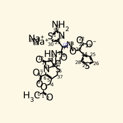 CC(=O)OCC1=C(C(=O)[O-])N2C(=O)[C@H](NC(=O)/C(=N\OC(C(=O)[O-])c3ccsc3)c3csc(N)n3)[C@H]2SC1.[Na+].[Na+]